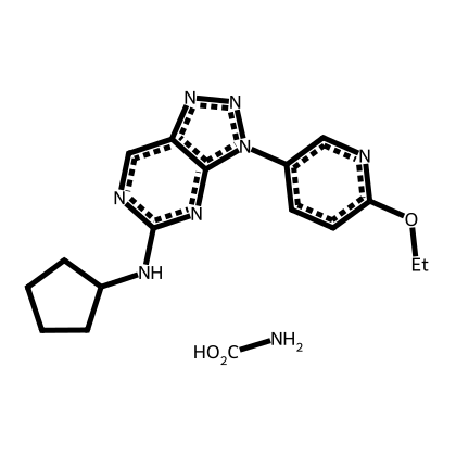 CCOc1ccc(-n2nnc3cnc(NC4CCCC4)nc32)cn1.NC(=O)O